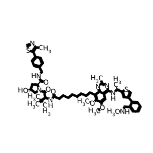 CNCc1ccccc1-c1csc([C@@H](C)Nc2nc(C)nc3c(CCCCCCCCC(=O)NC(C(=O)N4C[C@H](O)C[C@H]4C(=O)NCc4ccc(-c5scnc5C)cc4)C(C)(C)C)c(OC)c(OC)cc23)c1